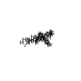 N=C(N)NCCCC(NC(=O)C1CCCN1C(=O)C(Cc1ccc(C(F)(F)F)cc1)NC(=O)c1ccc(Br)cc1)C(=O)CF